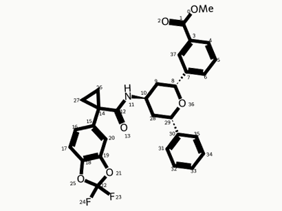 COC(=O)c1cccc([C@H]2C[C@H](NC(=O)C3(c4ccc5c(c4)OC(F)(F)O5)CC3)C[C@@H](c3ccccc3)O2)c1